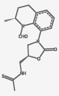 CC(=S)NC[C@H]1CN(c2cccc3c2N(C=O)[C@H](C)CC3)C(=O)O1